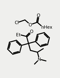 CCC(=O)C(CC(C)N(C)C)(c1ccccc1)c1ccccc1.CCCCCCC(=O)OCCl